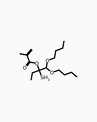 C=C(C)C(=O)OC([SiH3])(CC)C(OCCCC)OCCCC